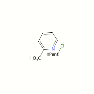 CCCCCCl.O=C(O)c1ccccn1